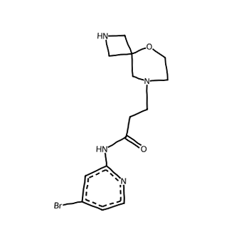 O=C(CCN1CCOC2(CNC2)C1)Nc1cc(Br)ccn1